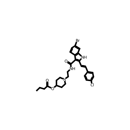 CCCC(=O)OC1CCN(CCNC(=O)c2c(C=Cc3ccc(Cl)cc3)[nH]c3cc(Br)ccc23)CC1